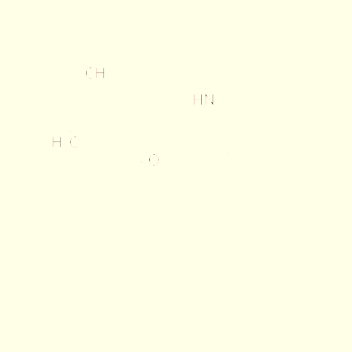 CC(C)COC(c1ccccc1)C1CCCCN1